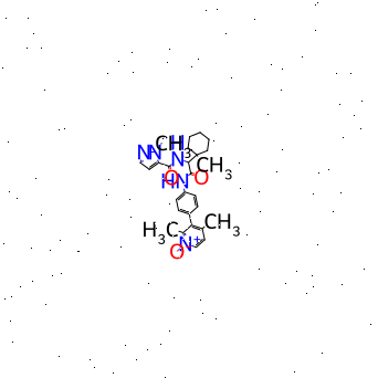 Cc1cc[n+]([O-])c(C)c1-c1ccc(NC(=O)C(NC(=O)c2ccnn2C)C2(C)CCCCC2)cc1